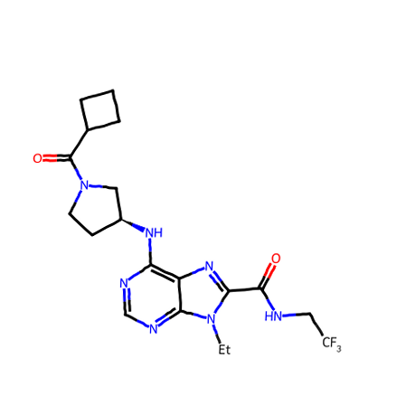 CCn1c(C(=O)NCC(F)(F)F)nc2c(N[C@H]3CCN(C(=O)C4CCC4)C3)ncnc21